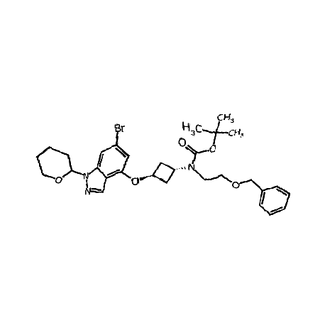 CC(C)(C)OC(=O)N(CCOCc1ccccc1)[C@H]1C[C@H](Oc2cc(Br)cc3c2cnn3C2CCCCO2)C1